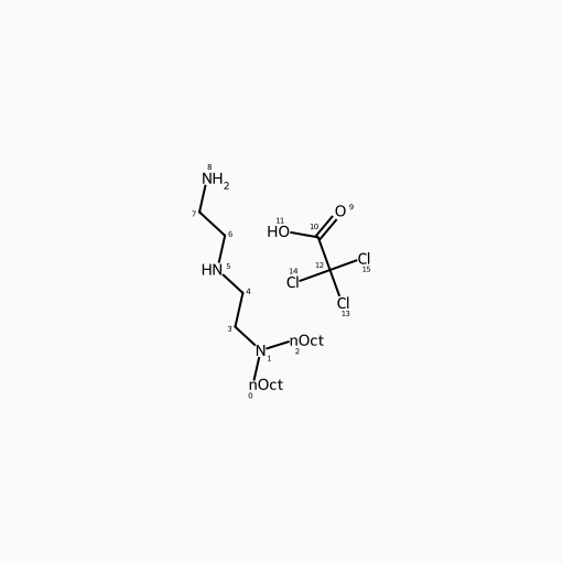 CCCCCCCCN(CCCCCCCC)CCNCCN.O=C(O)C(Cl)(Cl)Cl